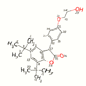 CC(C)(C)c1cc2c(c(C(C)(C)C)c1)OC(=O)C2c1ccc(OCCO)cc1